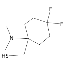 CN(C)C1(CS)CCC(F)(F)CC1